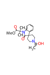 COC(=O)C(C)(C)N1C(=O)C2(CCN(B(C)O)CC2)c2ccccc21